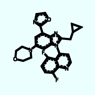 Fc1ccc(F)c2c(-n3c(CC4CC4)nc4c(-c5ncco5)cc(N5CCOCC5)cc43)ccnc12